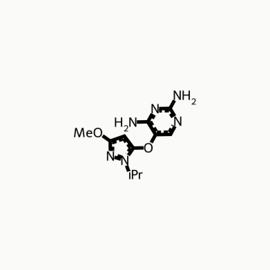 COc1cc(Oc2cnc(N)nc2N)n(C(C)C)n1